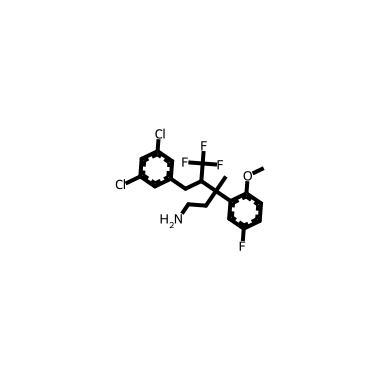 COc1ccc(F)cc1C(C)(CCN)C(Cc1cc(Cl)cc(Cl)c1)C(F)(F)F